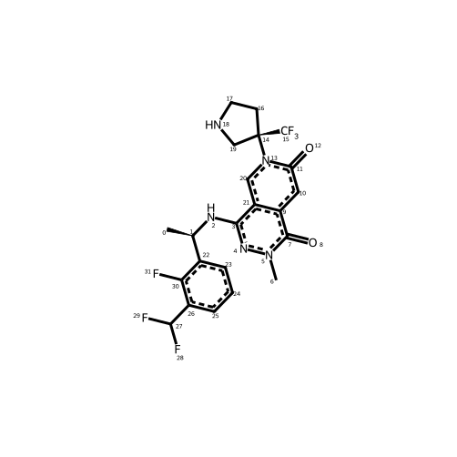 C[C@@H](Nc1nn(C)c(=O)c2cc(=O)n([C@@]3(C(F)(F)F)CCNC3)cc12)c1cccc(C(F)F)c1F